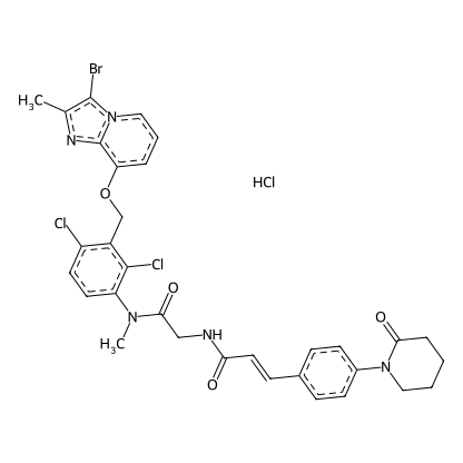 Cc1nc2c(OCc3c(Cl)ccc(N(C)C(=O)CNC(=O)/C=C/c4ccc(N5CCCCC5=O)cc4)c3Cl)cccn2c1Br.Cl